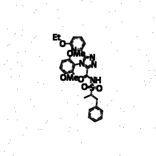 CCOc1cccc(-c2nnc(C(=O)NS(=O)(=O)C(C)Cc3ccccc3)n2-c2c(OC)cccc2OC)n1